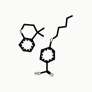 CC1(C)CCSc2ccccc21.CCCCCOc1ccc(C(=O)O)cc1